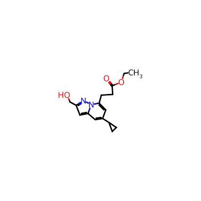 CCOC(=O)CCc1cc(C2CC2)cc2cc(CO)nn12